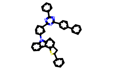 c1ccc(-c2ccc(-c3nc(-c4ccccc4)nc(-c4cccc(-n5c6ccccc6c6c7c(ccc65)CC(c5ccccc5)S7)c4)n3)cc2)cc1